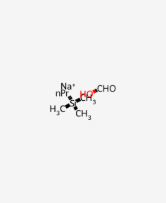 CCC[Si](C)(C)C.O=[C-]O.[Na+]